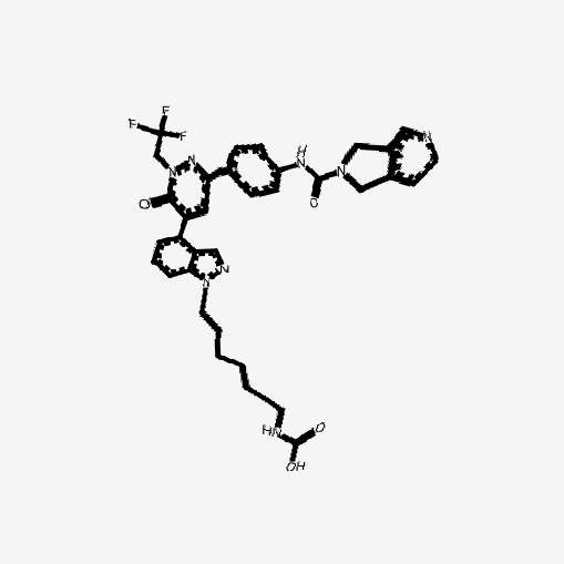 O=C(O)NCCCCCCn1ncc2c(-c3cc(-c4ccc(NC(=O)N5Cc6ccncc6C5)cc4)nn(CC(F)(F)F)c3=O)cccc21